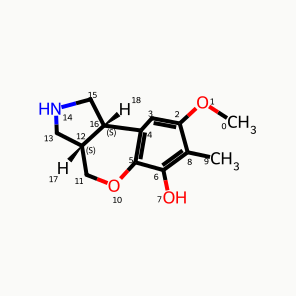 COc1cc2c(c(O)c1C)OC[C@@H]1CNC[C@H]21